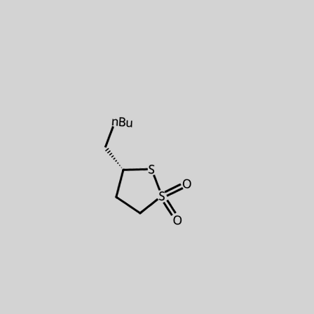 CCCCC[C@H]1CCS(=O)(=O)S1